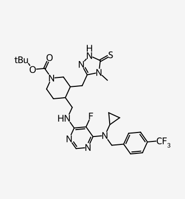 Cn1c(CC2CN(C(=O)OC(C)(C)C)CCC2CNc2ncnc(N(Cc3ccc(C(F)(F)F)cc3)C3CC3)c2F)n[nH]c1=S